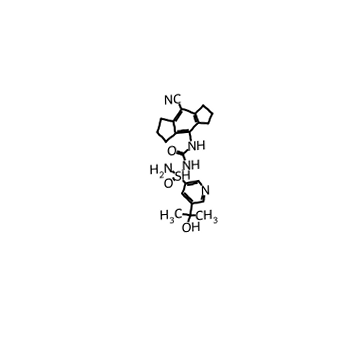 CC(C)(O)c1cncc([SH](N)(=O)NC(=O)Nc2c3c(c(C#N)c4c2CCC4)CCC3)c1